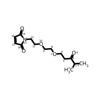 CC(C)C(=O)CCOCCOCCN1C(=O)C=CC1=O